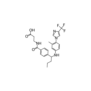 CCCC(Nc1ccc(-n2cnc(C(F)(F)F)c2)c(C)c1)c1ccc(C(=O)NCCC(=O)O)cc1